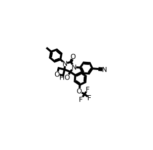 Cc1ccc(N2C(=O)N(c3ccc(C#N)cc3)C(O)(c3cccc(OC(F)(F)F)c3)C23COC3)cc1